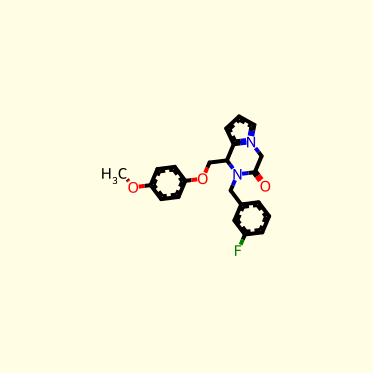 COc1ccc(OCC2c3cccn3CC(=O)N2Cc2cccc(F)c2)cc1